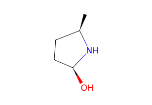 C[C@@H]1CC[C@H](O)N1